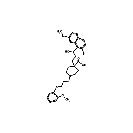 COc1ccc2ncc(Cl)c([C@H](O)CCC3(C(=O)O)CCN(CCCSc4ccccc4OC)CC3)c2c1